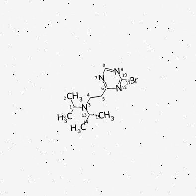 CC(C)N(CCc1ncnc(Br)n1)C(C)C